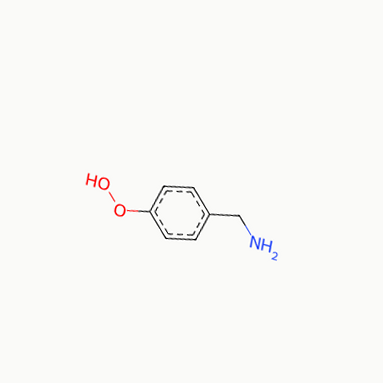 NCc1ccc(OO)cc1